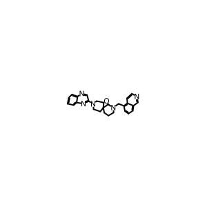 O=C1N(Cc2cccc3cnccc23)CCCC12CCN(c1cnc3ccccc3n1)CC2